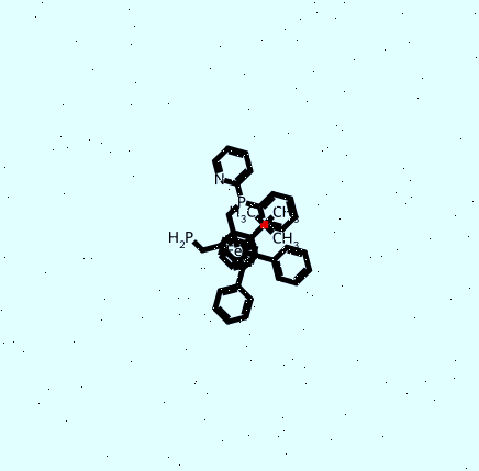 CC(C)(C)[C]12[C]3(CP(c4ccccn4)c4ccccn4)[C]4(CP)[C]5(c6ccccc6)[C]1(c1ccccc1)[Fe]43521678[CH]2[CH]1[CH]6[CH]7[CH]28